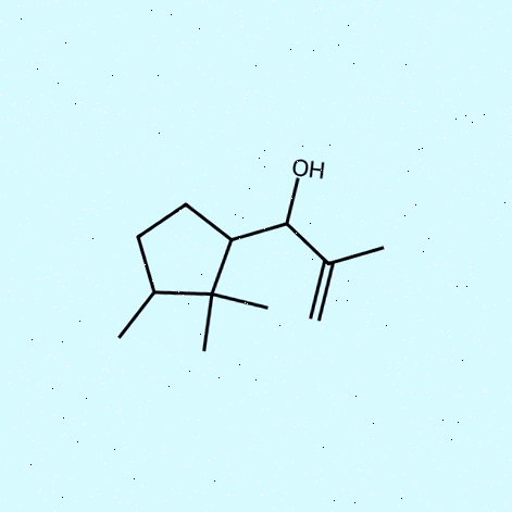 C=C(C)C(O)C1CCC(C)C1(C)C